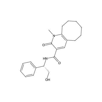 Cn1c2c(cc(C(=O)N[C@H](CO)c3ccccc3)c1=O)CCCCCC2